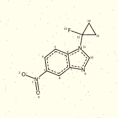 O=[N+]([O-])c1ccc2c(c1)ncn2C1(F)CC1